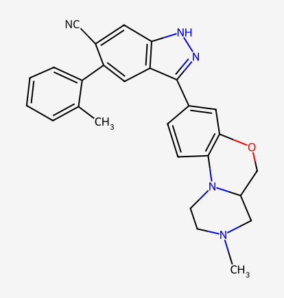 Cc1ccccc1-c1cc2c(-c3ccc4c(c3)OCC3CN(C)CCN43)n[nH]c2cc1C#N